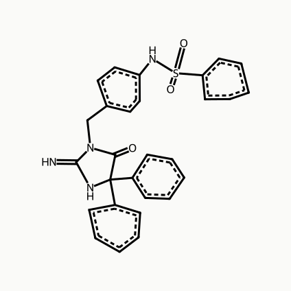 N=C1NC(c2ccccc2)(c2ccccc2)C(=O)N1Cc1ccc(NS(=O)(=O)c2ccccc2)cc1